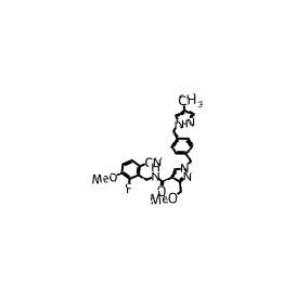 COCc1nn(Cc2ccc(Cn3cc(C)cn3)cc2)cc1C(=O)NCc1c(C#N)ccc(OC)c1F